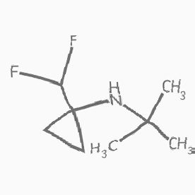 CC(C)(C)NC1(C(F)F)CC1